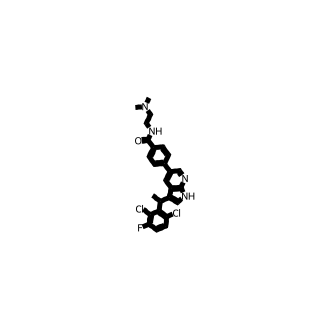 CC(c1c(Cl)ccc(F)c1Cl)c1c[nH]c2ncc(-c3ccc(C(=O)NCCN(C)C)cc3)cc12